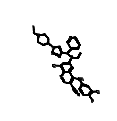 CCN1CCC(n2cc(C(c3cccnc3)N(CC)c3cc(Cl)c4ncc(C#N)c(Nc5ccc(F)c(Cl)c5)c4c3)nn2)CC1